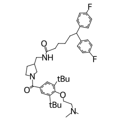 CN(C)CCOc1c(C(C)(C)C)cc(C(=O)N2CCC(CNC(=O)CCCCC(c3ccc(F)cc3)c3ccc(F)cc3)C2)cc1C(C)(C)C